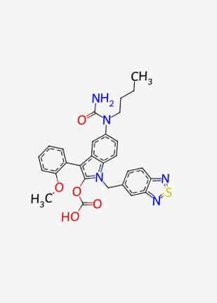 CCCCN(C(N)=O)c1ccc2c(c1)c(-c1ccccc1OC)c(OC(=O)O)n2Cc1ccc2nsnc2c1